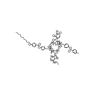 CCCCCCCCCCOc1ccc(C(=O)Oc2ccc(CSP3(=O)OC[C@H]4O[C@@H](n5ccc(=O)[nH]c5=O)[C@H](OP(=O)(SCc5ccc(OC(=O)c6ccc(C)cc6)cc5)OC[C@H]5O[C@@H](n6cnc7c(N)ncnc76)[C@H](F)[C@@H]5O3)[C@@H]4F)cc2)cc1